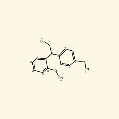 CCC(C)CC(c1ccc(OC#N)cc1)c1ccccc1OC#N